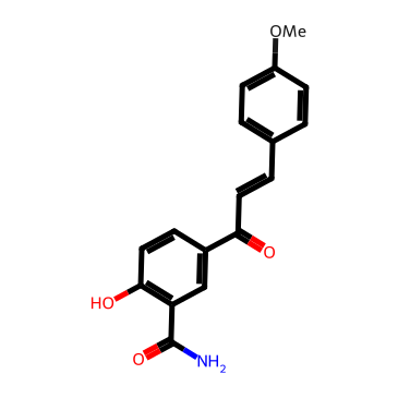 COc1ccc(C=CC(=O)c2ccc(O)c(C(N)=O)c2)cc1